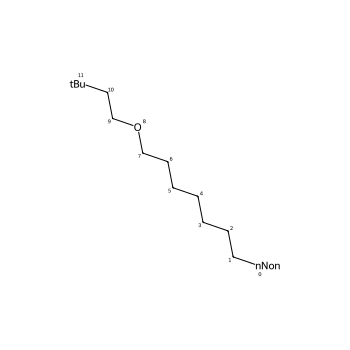 CCCCCCCCCCCCCCCCOCCC(C)(C)C